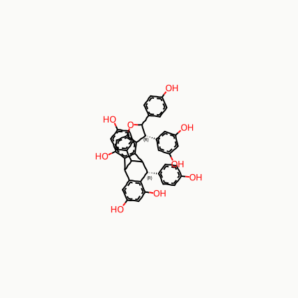 Oc1ccc(C2C3c4cc(O)cc(O)c4[C@@H](c4ccc(O)cc4)C2c2c3c(O)cc3c2[C@@H](c2cc(O)cc(O)c2)C(c2ccc(O)cc2)O3)cc1